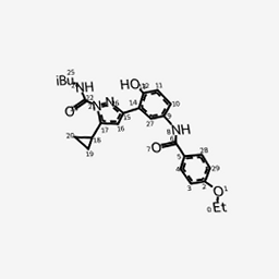 CCOc1ccc(C(=O)Nc2ccc(O)c(-c3cc(C4CC4)n(C(=O)NC(C)CC)n3)c2)cc1